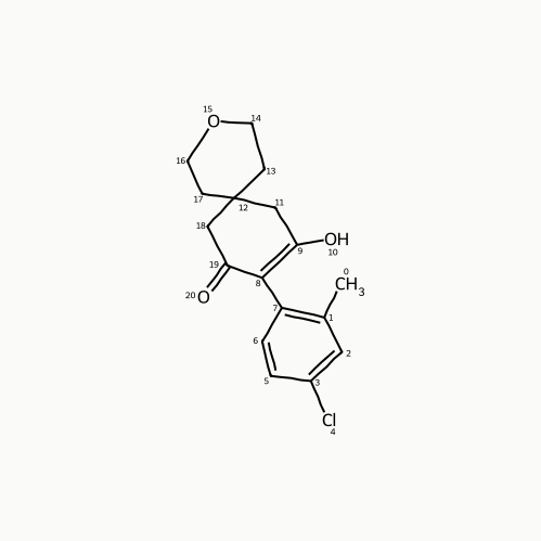 Cc1cc(Cl)ccc1C1=C(O)CC2(CCOCC2)CC1=O